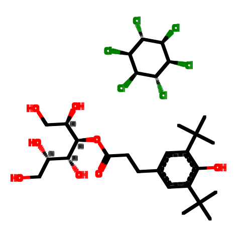 CC(C)(C)c1cc(CCC(=O)O[C@@H]([C@H](O)[C@@H](O)CO)[C@H](O)CO)cc(C(C)(C)C)c1O.Cl[C@H]1[C@H](Cl)[C@@H](Cl)[C@@H](Cl)[C@H](Cl)[C@H]1Cl